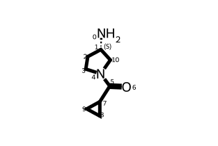 N[C@H]1CCN(C(=O)C2CC2)C1